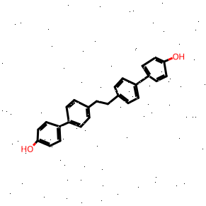 Oc1ccc(-c2ccc(CCc3ccc(-c4ccc(O)cc4)cc3)cc2)cc1